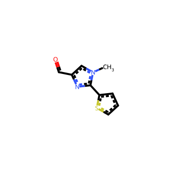 Cn1cc(C=O)nc1-c1cccs1